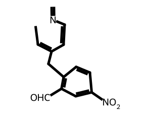 C=N/C=C\C(=C/C)Cc1ccc([N+](=O)[O-])cc1C=O